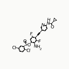 Nc1c(OS(=O)c2cc(Cl)ccc2Cl)cc(F)c(C#Cc2ccc(NC(=O)C3CC3)nc2)c1F